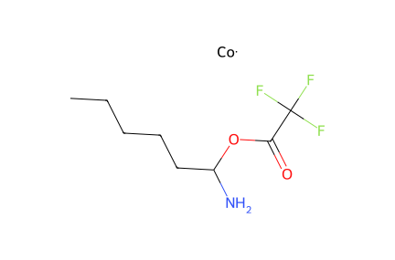 CCCCCC(N)OC(=O)C(F)(F)F.[Co]